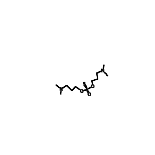 CN(C)CCCOS(=O)(=S)OCCCN(C)C